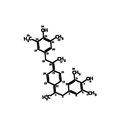 CC(Cc1cc(C)c(O)c(C)c1)=c1ccc(=C(C)Cc2cc(C)c(O)c(C)c2)cc1